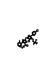 Cc1ccccc1-n1nc(Cn2nc(-c3ccc(Cl)cc3)n(CCC(F)(F)F)c2=O)nc1C(N)=O